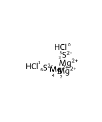 Cl.Cl.[Mg+2].[Mg+2].[Mg+2].[S-2].[S-2]